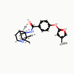 COc1coc(Oc2ccc(C(=O)N[C@@H]3C4CCN(CC4)[C@H]3C)cc2)c1